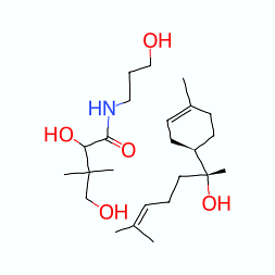 CC(C)(CO)C(O)C(=O)NCCCO.CC(C)=CCC[C@@](C)(O)[C@H]1CC=C(C)CC1